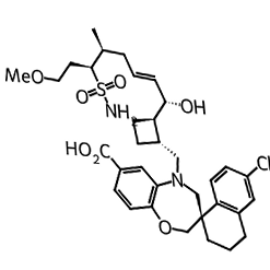 COCC[C@@H]([C@@H](C)C/C=C/[C@H](O)[C@@H]1CC[C@H]1CN1C[C@@]2(CCCc3cc(Cl)ccc32)COc2ccc(C(=O)O)cc21)S(N)(=O)=O